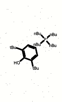 CC(C)(C)c1cccc(C(C)(C)C)c1O.CCCC[P+](CCCC)(CCCC)CCCC